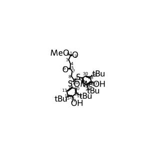 COC(=O)CCC(=O)CCC(OC)(Sc1cc(C(C)(C)C)c(O)c(C(C)(C)C)c1)Sc1cc(C(C)(C)C)c(O)c(C(C)(C)C)c1